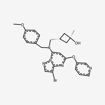 COc1ccc(CN(C[C@H]2C[C@](C)(O)C2)c2cc(Oc3cccnc3)nc3c(Br)cnn23)cc1